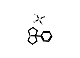 [O-][Cl+3]([O-])([O-])O.c1ccc(C23CCCN2CCC3)cc1